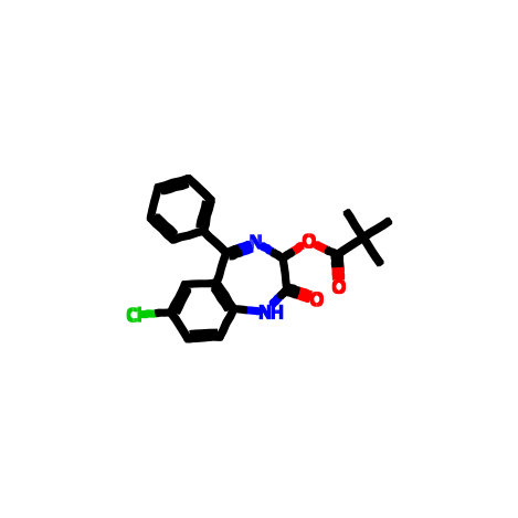 CC(C)(C)C(=O)OC1N=C(c2ccccc2)c2cc(Cl)ccc2NC1=O